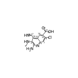 CNc1c(N)nc2cc(Cl)c(C(=O)O)cc2c1C=N